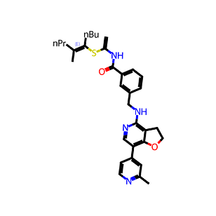 C=C(NC(=O)c1cccc(CNc2ncc(-c3ccnc(C)c3)c3c2CCO3)c1)S/C(CCCC)=C(\C)CCC